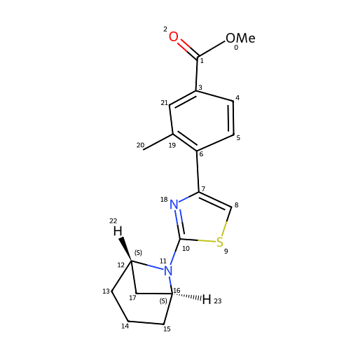 COC(=O)c1ccc(-c2csc(N3[C@H]4CCC[C@H]3C4)n2)c(C)c1